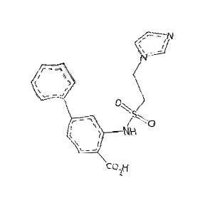 O=C(O)c1ccc(-c2ccccc2)cc1NS(=O)(=O)CCn1ccnc1